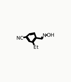 CCc1cc(C#N)ccc1C=NO